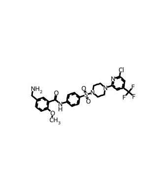 COc1ccc(CN)cc1C(=O)Nc1ccc(S(=O)(=O)N2CCN(c3cc(C(F)(F)F)cc(Cl)n3)CC2)cc1